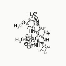 COc1cc(Nc2nc(N[C@H](C3CCC3)[C@H](C)NC(=O)OC(C)(C)C)c(F)cc2C#N)cc(OC)c1